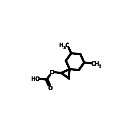 CC1CC(C)CC2(C1)CC2OC(=O)O